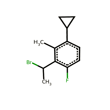 Cc1c(C2CC2)ccc(F)c1C(C)Br